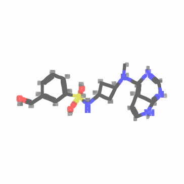 CN(c1ncnc2[nH]ccc12)C1CC(NS(=O)(=O)c2cccc(C=O)c2)C1